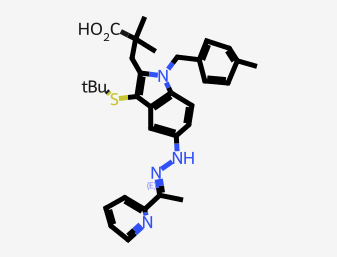 C/C(=N\Nc1ccc2c(c1)c(SC(C)(C)C)c(CC(C)(C)C(=O)O)n2Cc1ccc(C)cc1)c1ccccn1